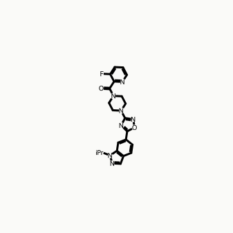 CC(C)n1ncc2ccc(-c3nc(N4CCN(C(=O)c5ncccc5F)CC4)no3)cc21